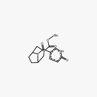 CC(C)(C)OC(=O)N1CC2CCC(C1)N2C(=O)c1ccc(=O)[nH]c1